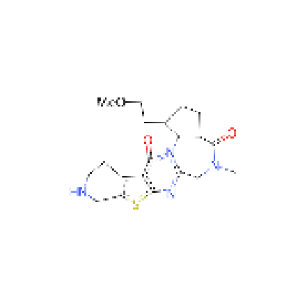 COCCC1CCC2C(=O)N(C)Cc3nc4sc5c(c4c(=O)n3C12)CCNC5